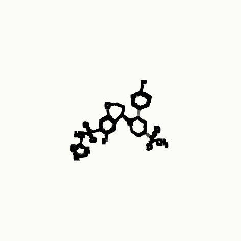 CS(=O)(=O)[C@@H]1CCN([C@@H]2CCOc3cc(S(=O)(=O)Nc4ncns4)c(F)cc32)[C@H](c2ccc(F)cc2)C1